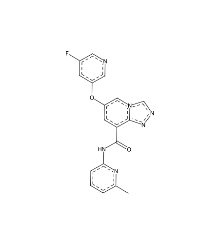 Cc1cccc(NC(=O)c2cc(Oc3cncc(F)c3)cn3cnnc23)n1